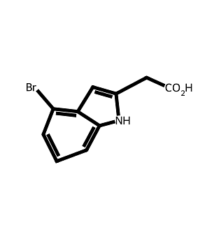 O=C(O)Cc1cc2c(Br)cccc2[nH]1